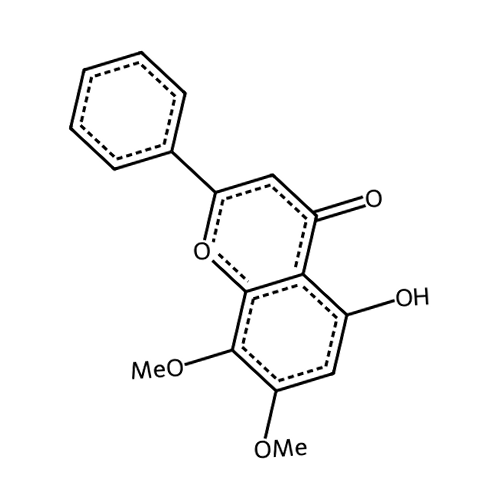 COc1cc(O)c2c(=O)cc(-c3ccccc3)oc2c1OC